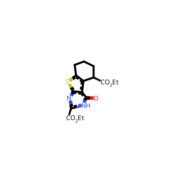 CCOC(=O)c1nc2sc3c(c2c(=O)[nH]1)C(C(=O)OCC)CCC3